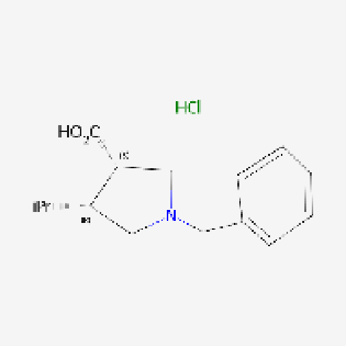 CC(C)[C@H]1CN(Cc2ccccc2)C[C@H]1C(=O)O.Cl